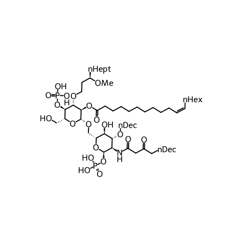 CCCCCC/C=C\CCCCCCCCCC(=O)O[C@H]1[C@H](OC[C@H]2O[C@H](OP(=O)(O)O)[C@H](NC(=O)CC(=O)CCCCCCCCCCC)[C@@H](OCCCCCCCCCC)[C@@H]2O)O[C@H](CO)[C@@H](OP(=O)(O)O)[C@@H]1OCC[C@@H](CCCCCCC)OC